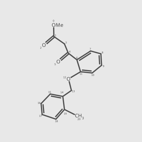 COC(=O)CC(=O)c1ccccc1OCc1ccccc1C